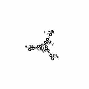 CC1(C)C2=C(CCC=C2)c2ccc(/C=C/c3ccc4c(c3)C(C)(C)c3cc(N(c5ccc6c(c5)C(C)(C)c5cc(/C=C/c7ccc8c(c7)C(C)(C)c7ccccc7-8)ccc5-6)c5ccc6c(c5)C(C)(C)c5cc(/C=C/c7ccc8c(c7)C(C)(C)c7ccccc7-8)ccc5-6)ccc3-4)cc21